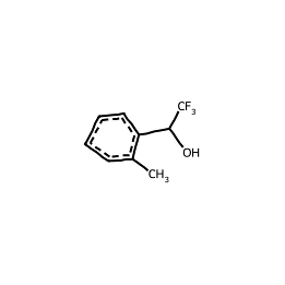 Cc1ccccc1C(O)C(F)(F)F